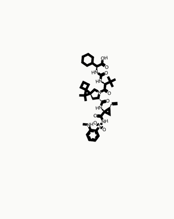 C=C[C@@H]1C[C@]1(NC(=O)[C@@H]1C[C@@]2(CN1C(=O)[C@@H](NC(=O)N[C@H](C(=O)O)C1CCCCC1)C(C)(C)C)C(C)(C)C21CCC1)C(=O)NS(=O)(=O)c1ccccc1NC